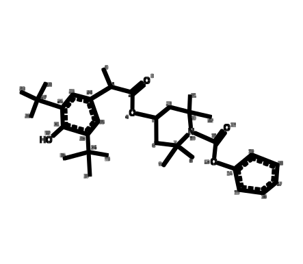 CC(C(=O)OC1CC(C)(C)N(C(=O)Oc2ccccc2)C(C)(C)C1)c1cc(C(C)(C)C)c(O)c(C(C)(C)C)c1